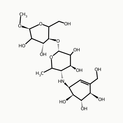 CO[C@H]1OC(CO)[C@@H](O[C@H]2OC(C)[C@@H](N[C@H]3C=C(CO)[C@@H](O)[C@H](O)[C@H]3O)[C@H](O)C2O)[C@H](O)C1O